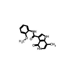 COc1ccccc1NC(=O)c1c[nH]c2c(C)c[nH]c(=O)c12